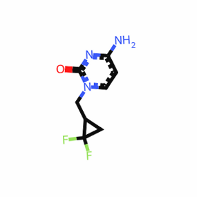 Nc1ccn(CC2CC2(F)F)c(=O)n1